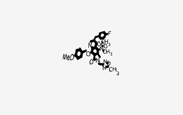 COc1ccc(COc2c3c(c(N(C)S(C)(=O)=O)c4cc(Cc5ccc(F)cc5)cnc24)CN(Cc2noc(C)n2)C3=O)cc1